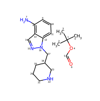 CC(C)(C)OC=O.Nc1cccc2c1cnn2CC1CCCNC1